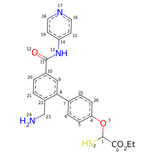 CCOC(=O)C(S)Oc1ccc(-c2cc(C(=O)Nc3ccncc3)ccc2CN)cc1